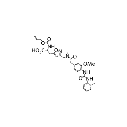 C=CCOC(=O)NC(Cc1cc(CN(C)C(=O)Cc2ccc(NC(=O)Nc3ccccc3C)c(OC)c2)no1)C(=O)O